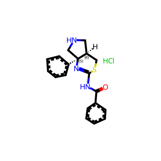 Cl.O=C(NC1=N[C@@]2(c3ccccc3)CNC[C@H]2CS1)c1ccccc1